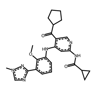 COc1c(Nc2cc(NC(=O)C3CC3)ncc2C(=O)C2CCCC2)cccc1-c1ncn(C)n1